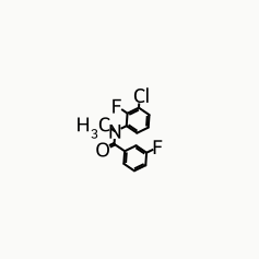 CN(C(=O)c1cccc(F)c1)c1cccc(Cl)c1F